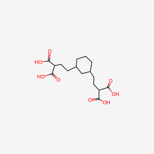 O=C(O)C(CCC1CCCC(CCC(C(=O)O)C(=O)O)C1)C(=O)O